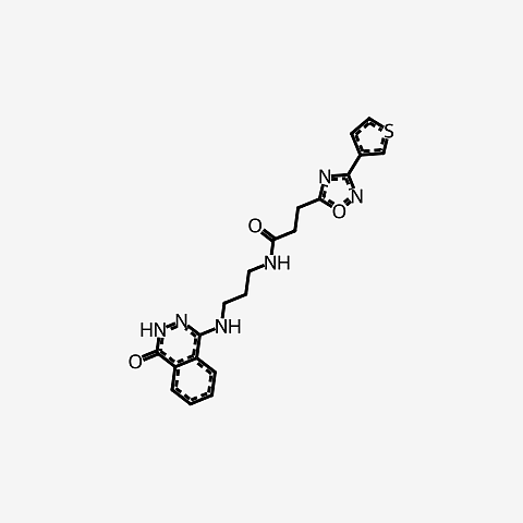 O=C(CCc1nc(-c2ccsc2)no1)NCCCNc1n[nH]c(=O)c2ccccc12